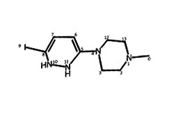 CN1CCN(C2=CC=C(I)NN2)CC1